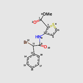 COC(=O)c1sccc1NC(=O)C(Br)c1ccccc1